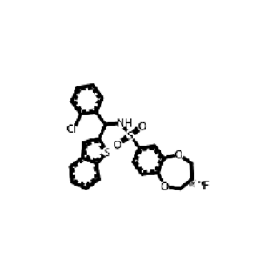 O=S(=O)(NC(c1cc2ccccc2s1)c1ccccc1Cl)c1ccc2c(c1)OC[C@H](F)CO2